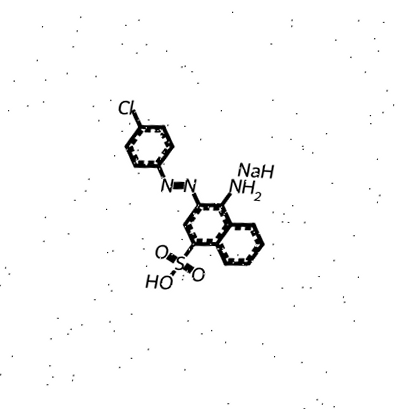 Nc1c(/N=N/c2ccc(Cl)cc2)cc(S(=O)(=O)O)c2ccccc12.[NaH]